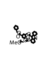 COC(C)COCOc1cccc2nc3ccccc3c(C(=O)Oc3ccc(C(=O)OCc4ccccc4)cc3C)c12